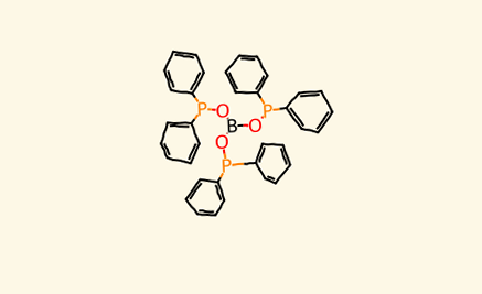 c1ccc(P(OB(OP(c2ccccc2)c2ccccc2)OP(c2ccccc2)c2ccccc2)c2ccccc2)cc1